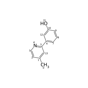 Cc1ccnc(-c2cccc(O)c2)c1